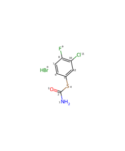 Br.NC(=O)Sc1ccc(F)c(Cl)c1